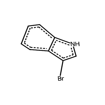 Brc1c[nH]c2ccccc12